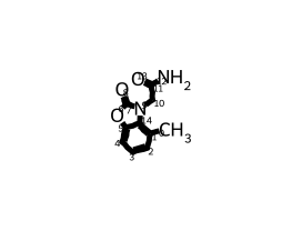 Cc1cccc2oc(=O)n(CC(N)=O)c12